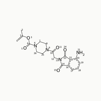 C=C(C)OC(=O)N1CCN(C(=O)CN2C(=O)c3cccc(N)c3C2=O)CC1